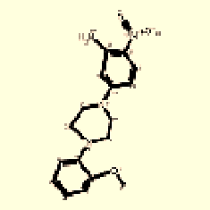 COc1ccccc1N1CCN(c2ccc([N+](=O)[O-])c(N)c2)CC1